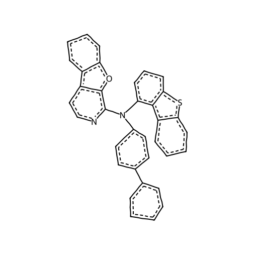 c1ccc(-c2ccc(N(c3nccc4c3oc3ccccc34)c3cccc4sc5ccccc5c34)cc2)cc1